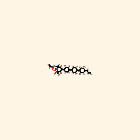 C=CCON1C(C)(C)CC(c2ccc(C3CCC(C4CCC(CCC)CC4)CC3)cc2)CC1(C)C